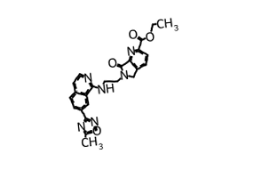 CCOC(=O)c1ccc2c(n1)C(=O)N(CCNc1nccc3ccc(-c4noc(C)n4)cc13)C2